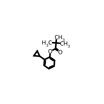 CC(C)(C)C(=O)Oc1ccccc1C1CC1